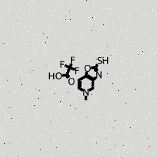 CN1C=Cc2oc(S)nc2C1.O=C(O)C(F)(F)F